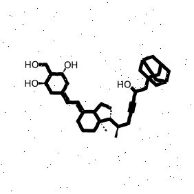 C[C@H](CC#CC(O)CC12CC3CC(CC(C3)C1)C2)[C@H]1CCC2/C(=C/C=C3C[C@@H](O)C(CO)[C@H](O)C3)CCC[C@@]21C